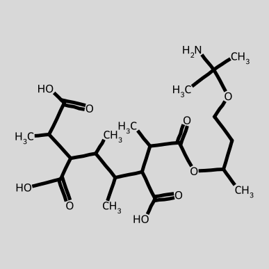 CC(CCOC(C)(C)N)OC(=O)C(C)C(C(=O)O)C(C)C(C)C(C(=O)O)C(C)C(=O)O